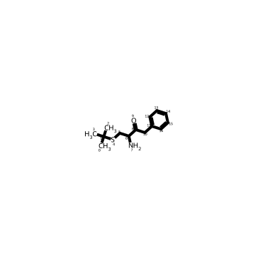 CC(C)(C)SCC(N)C(=O)Cc1ccccc1